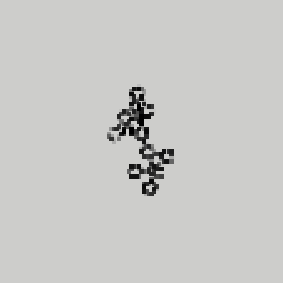 c1ccc(-c2oc3c4ccccc4c4cc(-c5ccc(N(c6cccc7c6oc6ccccc67)c6cccc7c6oc6ccccc67)cc5)ccc4c3c2-c2ccccc2)cc1